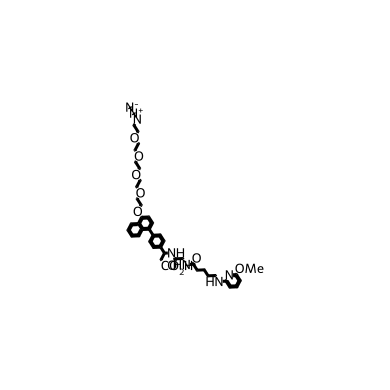 COc1cccc(NCCCCC(=O)NCC(=O)NC(CC(=O)O)c2ccc(-c3ccc(OCCOCCOCCOCCOCCN=[N+]=[N-])c4ccccc34)cc2)n1